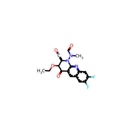 CCOC1C(=O)c2cc3cc(F)c(F)cc3nc2N(N(C)C=O)C1=C=O